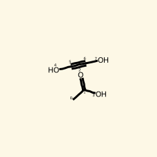 CC(=O)O.OC#CO